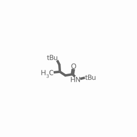 CC(CC(=O)NC(C)(C)C)CC(C)(C)C